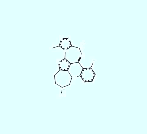 Cc1nnc2n1-c1sc3c(c1C(c1c(F)cccc1F)=N[C@H]2C)CC[C@@H](O)CC3